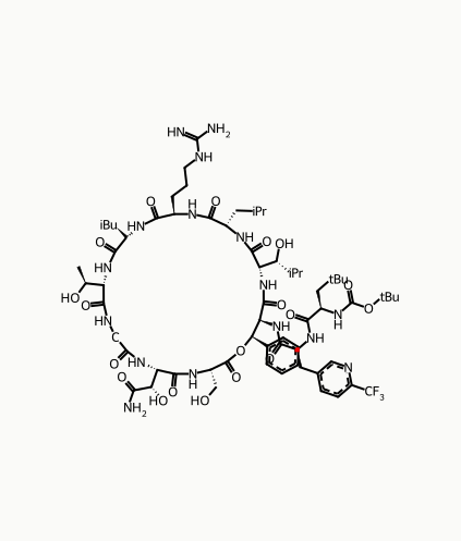 CC[C@H](C)[C@@H]1NC(=O)[C@@H](CCCNC(=N)N)NC(=O)[C@H](CC(C)C)NC(=O)[C@H]([C@H](O)C(C)C)NC(=O)[C@@H](NC(=O)[C@H](Cc2ccc(C(F)(F)F)nc2)NC(=O)[C@@H](CC(C)(C)C)NC(=O)OC(C)(C)C)[C@@H](c2ccccc2)OC(=O)[C@H](CO)NC(=O)[C@H]([C@H](O)C(N)=O)NC(=O)CNC(=O)[C@H]([C@H](C)O)NC1=O